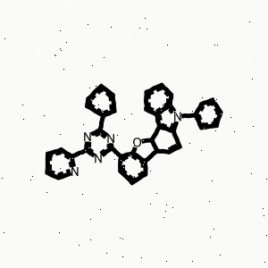 C1=CC2c3cccc(-c4nc(-c5ccccc5)nc(-c5ccccn5)n4)c3OC2c2c1n(-c1ccccc1)c1ccccc21